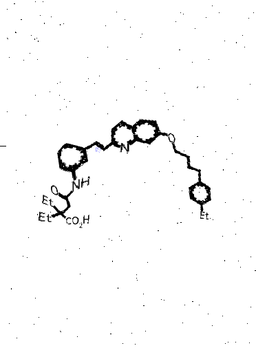 CCc1ccc(CCCCOc2ccc3ccc(/C=C/c4cccc(NC(=O)CC(CC)(CC)C(=O)O)c4)nc3c2)cc1